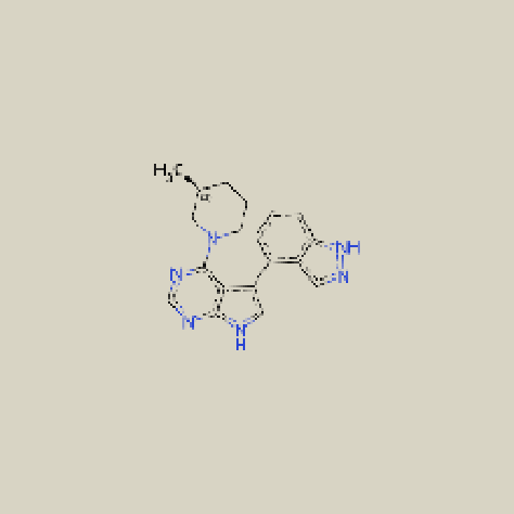 C[C@H]1CCCN(c2ncnc3[nH]cc(-c4cccc5[nH]ncc45)c23)C1